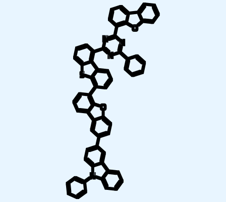 c1ccc(-c2nc(-c3cccc4c3oc3ccccc34)nc(-c3cccc4sc5c(-c6cccc7c6oc6ccc(-c8ccc9c(c8)c8ccccc8n9-c8ccccc8)cc67)cccc5c34)n2)cc1